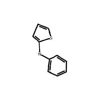 c1ccc([N]c2cccs2)cc1